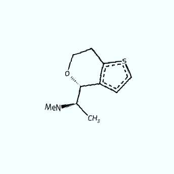 CN[C@H](C)[C@@H]1OCCc2sccc21